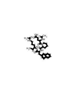 CC(=O)NC(CCC(=O)O)C(=O)N1CCCCC1C(=O)NC(Cc1ccc2ccccc2c1)C(=O)NC(CCCNC(N)=O)C(N)=O